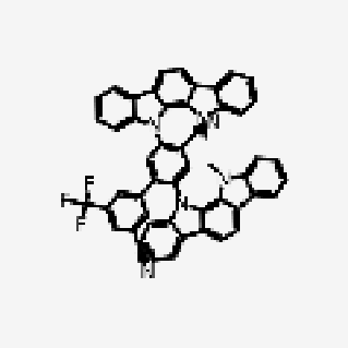 Cn1c2ccccc2c2ccc3c4ccccc4n(-c4cc(-c5cc(C#N)cc(C(F)(F)F)c5)c(-n5c6ccccc6c6ccc7c8ccccc8n(C)c7c65)cc4C#N)c3c21